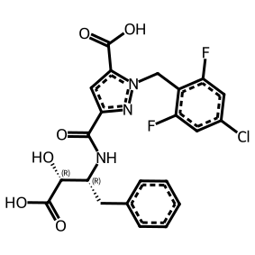 O=C(N[C@H](Cc1ccccc1)[C@@H](O)C(=O)O)c1cc(C(=O)O)n(Cc2c(F)cc(Cl)cc2F)n1